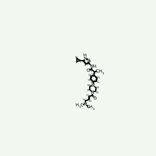 CC(C(=O)Nc1cc(C2CC2)[nH]n1)c1ccc(N2CCN(C(=O)C=CCN(C)C)CC2)cc1